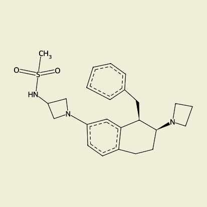 CS(=O)(=O)NC1CN(c2ccc3c(c2)[C@@H](Cc2ccccc2)[C@@H](N2CCC2)CC3)C1